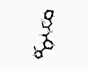 Cn1nccc1-c1cncc(C(=O)NC(CN)Cc2ccccc2)c1